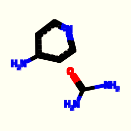 NC(N)=O.Nc1ccncc1